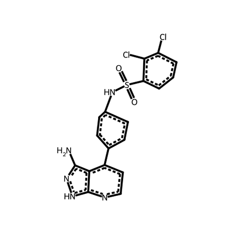 Nc1n[nH]c2nccc(-c3ccc(NS(=O)(=O)c4cccc(Cl)c4Cl)cc3)c12